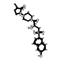 CC1CCN(N2CCN(C(=O)[C@H](O)CS(=O)(=O)c3ccc4cc(Cl)ccc4c3)CC2)C1=O